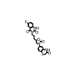 O=C1CSc2ccc(N3CC(CCCn4c(=O)[nH]c5ccc(F)cc5c4=O)OC3=O)cc2N1